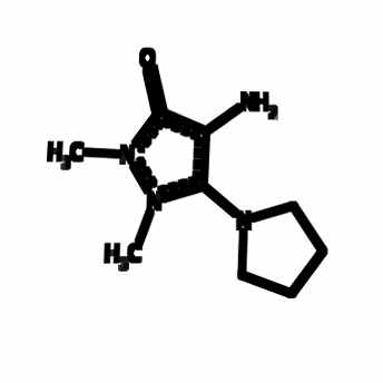 Cn1c(N2CCCC2)c(N)c(=O)n1C